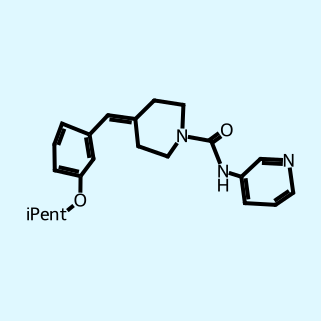 CCCC(C)Oc1cccc(C=C2CCN(C(=O)Nc3cccnc3)CC2)c1